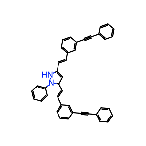 C(#Cc1cccc(C=CC2=CC(C=Cc3cccc(C#Cc4ccccc4)c3)N(c3ccccc3)N2)c1)c1ccccc1